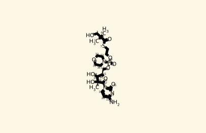 CC(C)(CO)C(=O)SCCOP(=O)(OC[C@H]1O[C@@H](n2ccc(N)nc2=O)[C@@](C)(O)C1O)N1CCOCC1